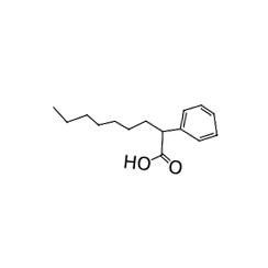 CCCCCCCC(C(=O)O)c1ccccc1